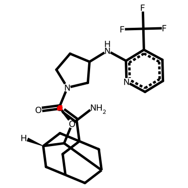 NC(=O)C12CC3CC(C1)C(OC(=O)N1CCC(Nc4ncccc4C(F)(F)F)C1)[C@H](C3)C2